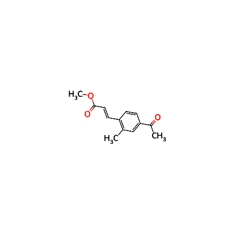 COC(=O)/C=C/c1ccc(C(C)=O)cc1C